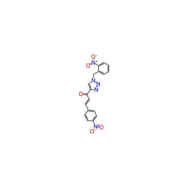 O=C(/C=C/c1ccc([N+](=O)[O-])cc1)c1cn(Cc2ccccc2[N+](=O)[O-])nn1